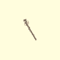 CCCCCCCCCCCCCCCCCC(=O)C(C)(O)C(=O)C1CC1(C)C